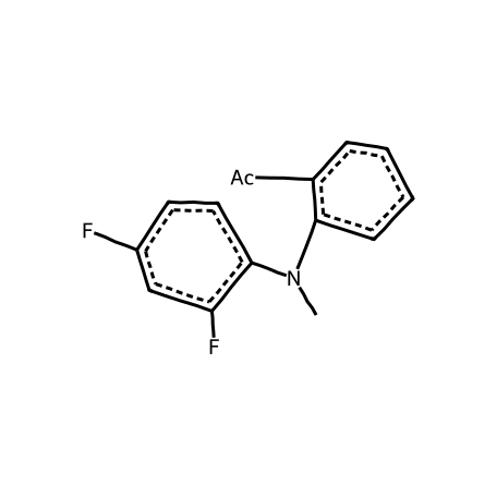 CC(=O)c1ccccc1N(C)c1ccc(F)cc1F